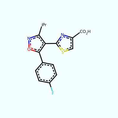 CC(C)c1noc(-c2ccc(F)cc2)c1-c1nc(C(=O)O)cs1